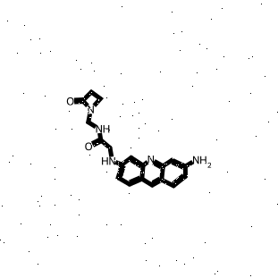 Nc1ccc2cc3ccc(NCC(=O)NCN4CCC4=O)cc3nc2c1